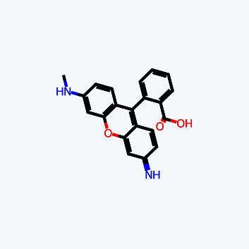 CNc1ccc2c(-c3ccccc3C(=O)O)c3ccc(=N)cc-3oc2c1